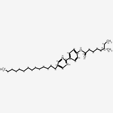 CCCCCCCCCCCCCCc1cnc(-c2ccc(OC(=O)CCCC[C@@H](C)CC)cc2)nc1